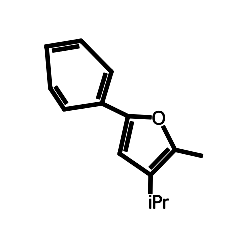 Cc1oc(-c2ccccc2)cc1C(C)C